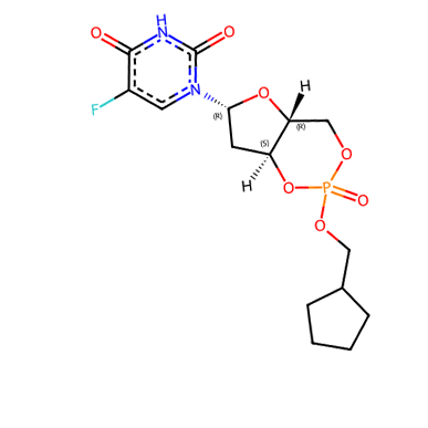 O=c1[nH]c(=O)n([C@H]2C[C@@H]3OP(=O)(OCC4CCCC4)OC[C@H]3O2)cc1F